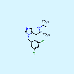 CC(N[C@@H](Cc1cncn1Cc1cc(Cl)cc(Cl)c1)C(=O)O)C(=O)O